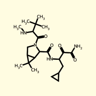 CNC(C(=O)N1CC2C(C1C(=O)NC(CC1CC1)C(=O)C(N)=O)C2(C)C)C(C)(C)C